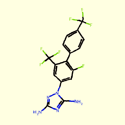 Nc1nc(N)n(-c2cc(F)c(-c3ccc(C(F)(F)F)cc3)c(C(F)(F)F)c2)n1